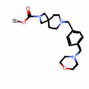 CC(C)(C)OC(=O)N1CC2(CCN(Cc3ccc(CN4CCOCC4)cc3)CC2)C1